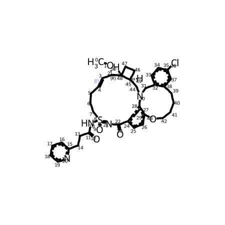 CO[C@H]1/C=C/CCCS(=O)(NC(=O)CCc2ccccn2)=NC(=O)c2ccc3c(c2)N(Cc2ccc(Cl)cc2CCCCO3)C[C@@H]2CC[C@H]21